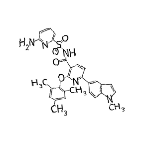 Cc1cc(C)c(Oc2nc(-c3ccc4c(ccn4C)c3)ccc2C(=O)NS(=O)(=O)c2cccc(N)n2)c(C)c1